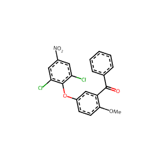 COc1ccc(Oc2c(Cl)cc([N+](=O)[O-])cc2Cl)cc1C(=O)c1ccccc1